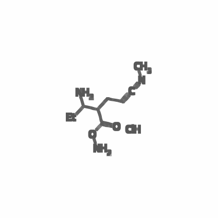 CCC(N)C(CC=C=NC)C(=O)ON.Cl